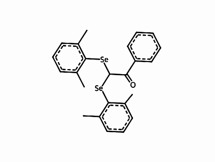 Cc1cccc(C)c1[Se]C([Se]c1c(C)cccc1C)C(=O)c1ccccc1